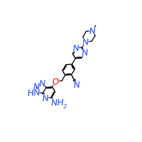 CN1CCN(c2ncc(-c3ccc(COc4cc(N)nc5[nH]nnc45)c(C#N)c3)cn2)CC1